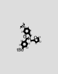 CN(C)c1ccc(CN(CC2CC=CO2)C(=O)c2ccc(C(C)(C)C)cc2)cc1